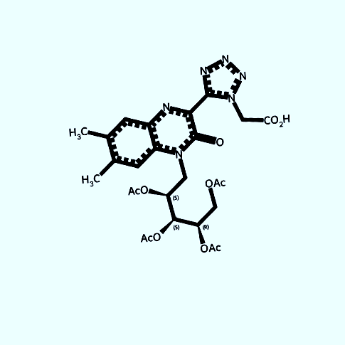 CC(=O)OC[C@@H](OC(C)=O)[C@@H](OC(C)=O)[C@H](Cn1c(=O)c(-c2nnnn2CC(=O)O)nc2cc(C)c(C)cc21)OC(C)=O